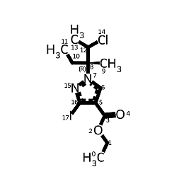 CCOC(=O)c1cn([C@](C)(CC)C(C)Cl)nc1I